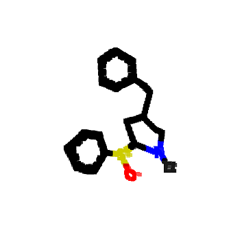 CCN1CC(Cc2ccccc2)CC1[S+]([O-])c1ccccc1